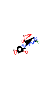 COC(=O)c1cnc(Cl)nc1NCc1ccc(OC)cc1OC